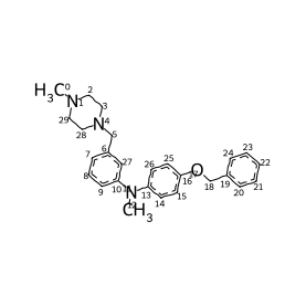 CN1CCN(Cc2cccc(N(C)c3ccc(OCc4ccccc4)cc3)c2)CC1